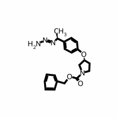 C[C@H](N=NN)c1ccc(O[C@@H]2CCN(C(=O)OCc3ccccc3)C2)cc1